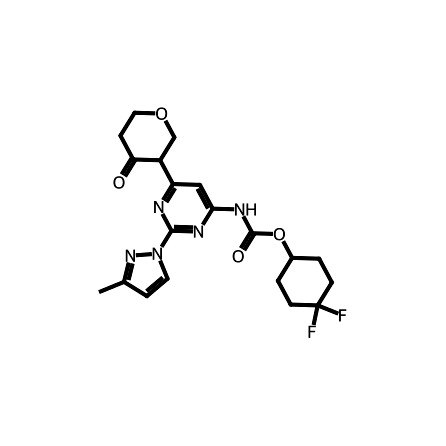 Cc1ccn(-c2nc(NC(=O)OC3CCC(F)(F)CC3)cc(C3COCCC3=O)n2)n1